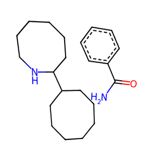 C1CCCC(C2CCCCCCN2)CCC1.NC(=O)c1ccccc1